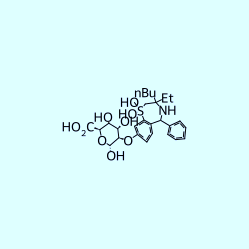 CCCCC1(CC)CS(O)(O)c2cc(O[C@@H]3[C@H](O)[C@@H](O)[C@H](C(=O)O)O[C@H]3O)ccc2C(c2ccccc2)N1